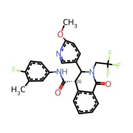 COc1ccc(C2[C@@H](C(=O)Nc3ccc(F)c(C)c3)c3ccccc3C(=O)N2CC(F)(F)F)cn1